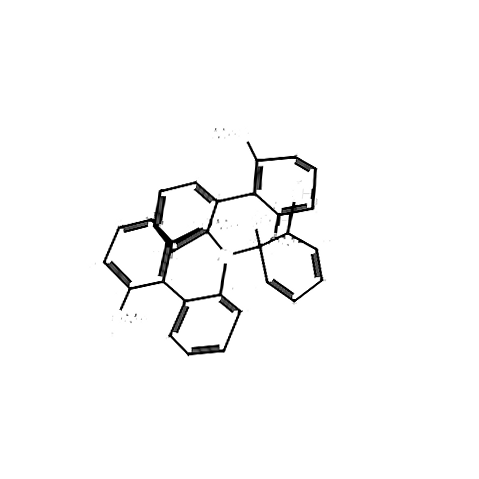 COc1cccc(OC)c1-c1ccccc1P(c1ccccc1-c1c(OC)cccc1OC)C1(S(=O)(=O)O)C=CC=CC1C